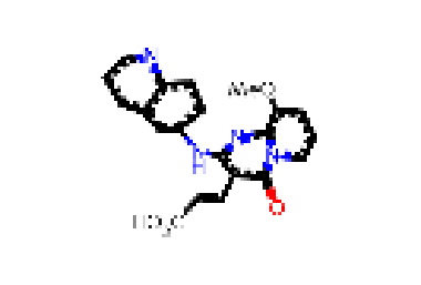 COc1cccn2c(=O)c(C=CC(=O)O)c(Nc3ccc4ncccc4c3)nc12